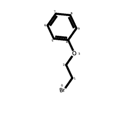 BrCCOc1c[c]ccc1